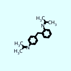 CC(C)=Nc1ccc(Cc2ccccc2N=C(C)C)cc1